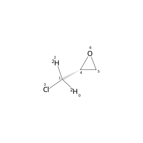 [2H]C([2H])(Cl)[C@H]1CO1